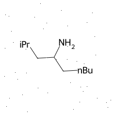 CCCCCC(N)CC(C)C